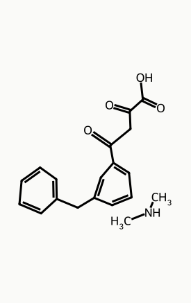 CNC.O=C(O)C(=O)CC(=O)c1cccc(Cc2ccccc2)c1